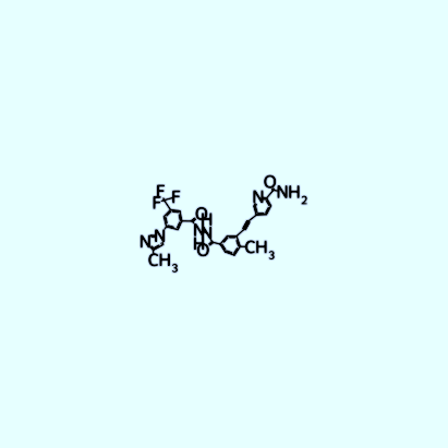 Cc1cn(-c2cc(C(=O)NNC(=O)c3ccc(C)c(C#Cc4ccc(C(N)=O)nc4)c3)cc(C(F)(F)F)c2)cn1